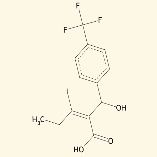 CCC(I)=C(C(=O)O)C(O)c1ccc(C(F)(F)F)cc1